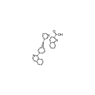 N#Cc1cccnc1.O=C(O)c1ccc2ccccc2n1.c1ccc(-c2nccc3ccccc23)cc1